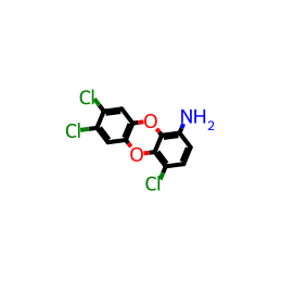 Nc1ccc(Cl)c2c1Oc1cc(Cl)c(Cl)cc1O2